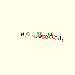 CCCCCC1CCC(c2ccc(COc3ccc(-c4ccc(OCC)c(F)c4F)cc3)c(F)c2F)CC1